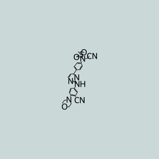 CS(=O)(=O)N(CC#N)c1ccc(-c2ccnc(Nc3ccc(N4CCOCC4)c(C#N)c3)n2)cc1